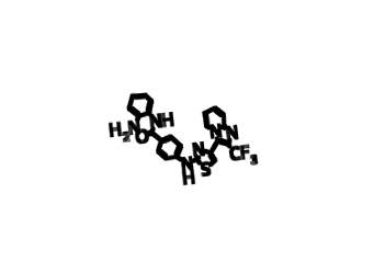 Nc1ccccc1NC(=O)c1ccc(Nc2nc(-c3c(C(F)(F)F)nc4ccccn34)cs2)cc1